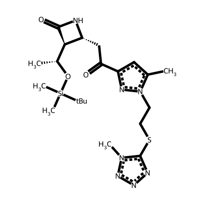 Cc1cc(C(=O)C[C@H]2NC(=O)[C@@H]2[C@@H](C)O[Si](C)(C)C(C)(C)C)nn1CCSc1nnnn1C